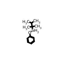 CC(C)C(C)(C)[SiH2]Oc1cc[c]cc1